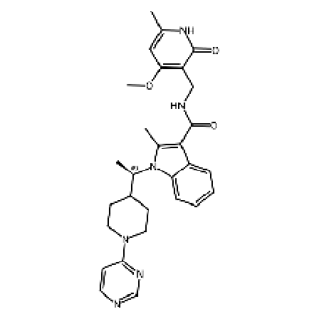 COc1cc(C)[nH]c(=O)c1CNC(=O)c1c(C)n([C@H](C)C2CCN(c3ccncn3)CC2)c2ccccc12